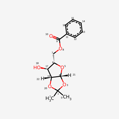 CC1(C)O[C@H]2O[C@@H](COC(=O)c3ccccc3)[C@H](O)[C@H]2O1